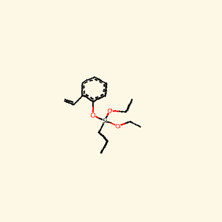 C=Cc1ccccc1O[Si](CCC)(OCC)OCC